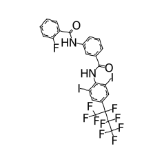 O=C(Nc1c(I)cc(C(F)(C(F)(F)F)C(F)(F)C(F)(F)F)cc1I)c1cccc(NC(=O)c2ccccc2F)c1